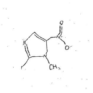 Cn1c([N+](=O)[O-])cnc1I